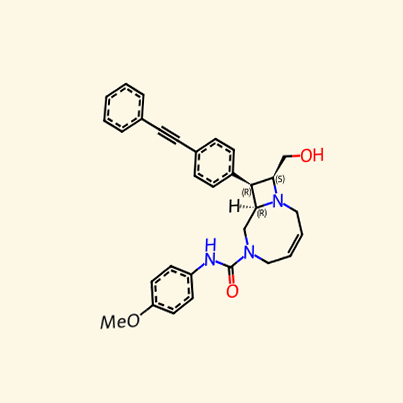 COc1ccc(NC(=O)N2CC=CCN3[C@H](CO)[C@H](c4ccc(C#Cc5ccccc5)cc4)[C@@H]3C2)cc1